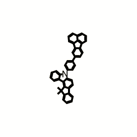 CC1(C)c2ccccc2-c2ccc3c(c21)c1ccccc1n3-c1ccc(-c2ccc3c(c2)-c2cccc4cccc-3c24)cc1